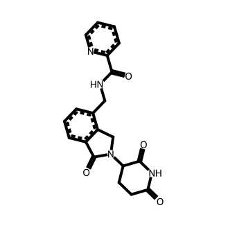 O=C1CCC(N2Cc3c(CNC(=O)c4ccccn4)cccc3C2=O)C(=O)N1